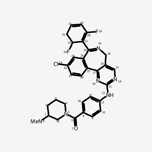 CNC1CCCN(C(=O)c2ccc(Nc3ncc4c(n3)-c3ccc(Cl)cc3C(C3=C(F)C=CCC3F)=NC4)cc2)C1